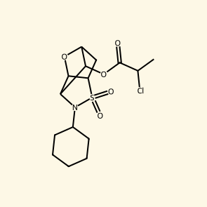 CC(Cl)C(=O)OC1C2CC3C(O2)C1N(C1CCCCC1)S3(=O)=O